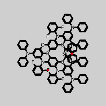 Fc1cccc(F)c1N1c2cc3c(cc2B2c4cc5c(cc4Oc4cc(N(c6ccccc6)c6ccccc6)cc1c42)N(c1c(F)cccc1F)c1cc(N(c2ccccc2)c2ccccc2)cc2c1B5c1sc4ccccc4c1N2c1ccccc1)B1c2sc4ccccc4c2N(c2ccccc2)c2cc(N(c4ccccc4)c4ccccc4)cc(c21)N3c1c(F)cccc1F